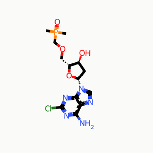 CP(C)(=O)COC[C@H]1O[C@@H](n2cnc3c(N)nc(Cl)nc32)C[C@@H]1O